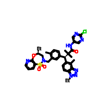 CC[C@@H]1CN(Cc2cc([C@@H](c3ccc4c(nnn4CC)c3C)C(C)(C)C(=O)Nc3cnc(Cl)nc3)ccc2C)S(=O)(=O)c2cccnc2O1